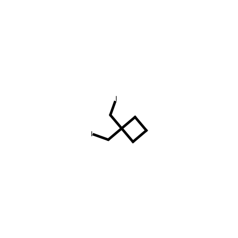 ICC1(CI)CCC1